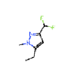 CCc1cc(C(F)F)nn1C